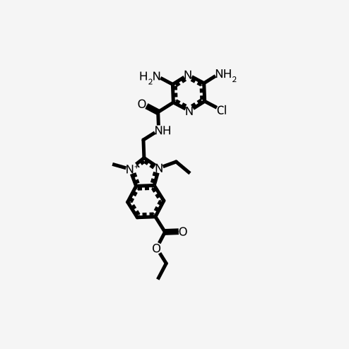 CCOC(=O)c1ccc2c(c1)n(CC)c(CNC(=O)c1nc(Cl)c(N)nc1N)[n+]2C